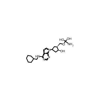 NC(O)(O)OC[C@@H]1CC(n2ccc3c(NCC4CCCCC4)ncnc32)C[C@@H]1O